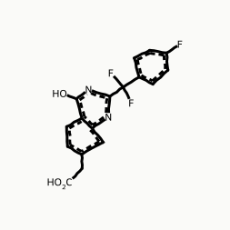 O=C(O)Cc1ccc2c(O)nc(C(F)(F)c3ccc(F)cc3)nc2c1